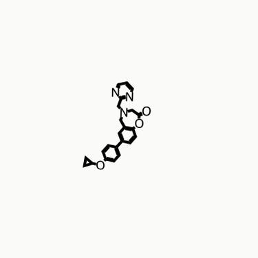 O=C1CN(Cc2ncccn2)Cc2cc(-c3ccc(OC4CC4)cc3)ccc2O1